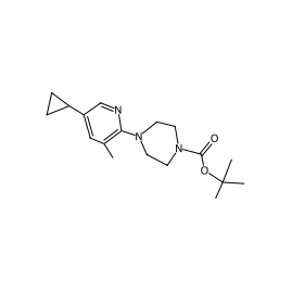 Cc1cc(C2CC2)cnc1N1CCN(C(=O)OC(C)(C)C)CC1